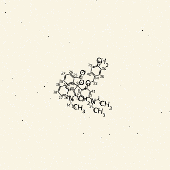 CCN(CC)c1ccc(C2(c3c(C)n(CC)c4ccccc34)OC(=O)c3ccccc32)c(OCc2ccc(C)cc2)c1